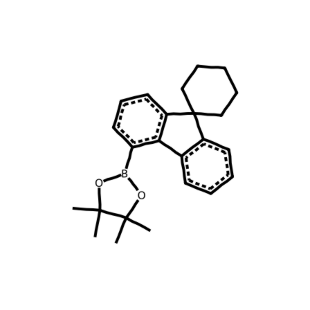 CC1(C)OB(c2cccc3c2-c2ccccc2C32CCCCC2)OC1(C)C